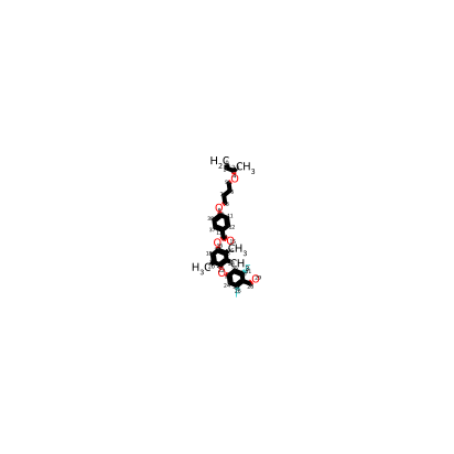 C=CC(C)OCCCCOc1ccc(C(=O)Oc2cc(C)c(Oc3cc(F)c(C=O)c(F)c3)c(C)c2C)cc1